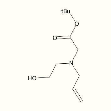 C=CCN(CCO)CC(=O)OC(C)(C)C